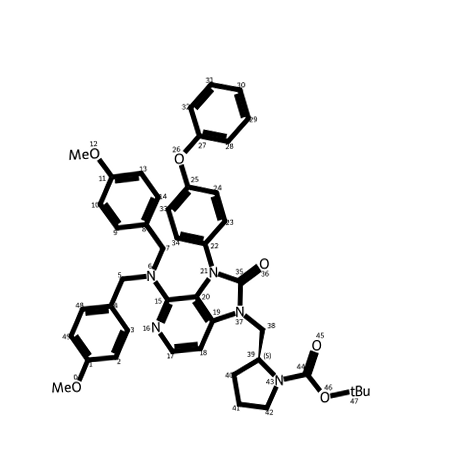 COc1ccc(CN(Cc2ccc(OC)cc2)c2nccc3c2n(-c2ccc(Oc4ccccc4)cc2)c(=O)n3C[C@@H]2CCCN2C(=O)OC(C)(C)C)cc1